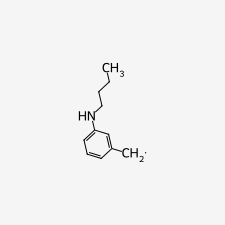 [CH2]c1cccc(NCCCC)c1